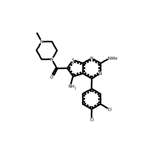 CNc1nc(-c2ccc(Cl)c(Cl)c2)c2c(N)c(C(=O)N3CCN(C)CC3)sc2n1